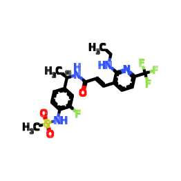 CCNc1nc(C(F)(F)F)ccc1C=CC(=O)N[C@H](C)c1ccc(NS(C)(=O)=O)c(F)c1